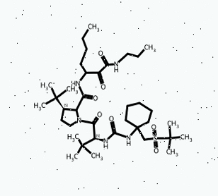 CCCCC(NC(=O)C1[C@H](C(C)(C)C)CCN1C(=O)[C@@H](NC(=O)NC1(CS(=O)(=O)C(C)(C)C)CCCCC1)C(C)(C)C)C(=O)C(=O)NCCC